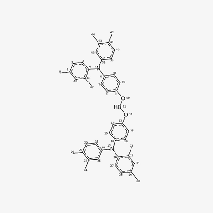 Cc1ccc(N(c2ccc(OBOc3ccc(N(c4ccc(C)c(C)c4)c4ccc(C)cc4C)cc3)cc2)c2ccc(C)c(C)c2)c(C)c1